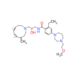 C=C1/C=C\C=C/CCN(CC(O)CNC(=O)c2ccc(N3CCCN(CCOC)CC3)cc2CC)CC1